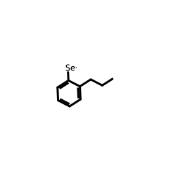 CCCc1ccccc1[Se]